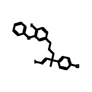 CC(C=CI)(CCCc1ccc(F)c(Oc2ccccc2)c1)c1ccc(Cl)cc1